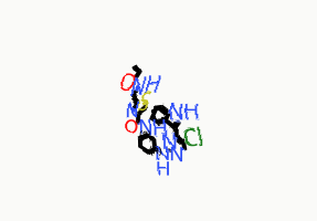 C=CC(=O)NCc1nc(C(=O)N[C@H]2CCC[C@@H](Nc3ncc(Cl)c(-c4c[nH]c5ccccc45)n3)C2)cs1